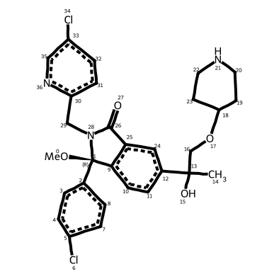 CO[C@]1(c2ccc(Cl)cc2)c2ccc(C(C)(O)COC3CCNCC3)cc2C(=O)N1Cc1ccc(Cl)cn1